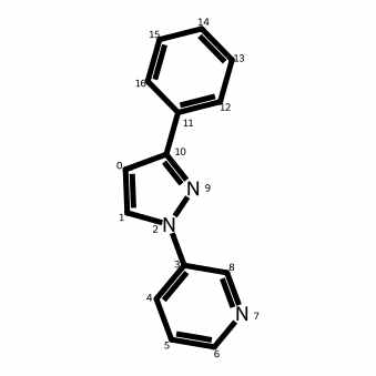 [c]1cn(-c2cccnc2)nc1-c1ccccc1